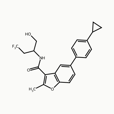 Cc1oc2ccc(-c3ccc(C4CC4)cc3)cc2c1C(=O)NC(CO)CC(F)(F)F